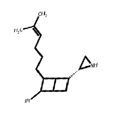 CC(C)=CCCCC1C(C(C)C)C2CC([C@@H]3CN3)C12